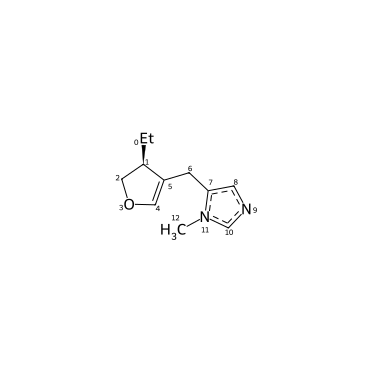 CC[C@@H]1COC=C1Cc1cncn1C